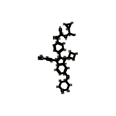 CC(OC(=O)Nc1ccc(-c2c(C#CC#N)c3ccc(OC4CCOCC4)cc3n2C2CCC2)cc1)C1CC1